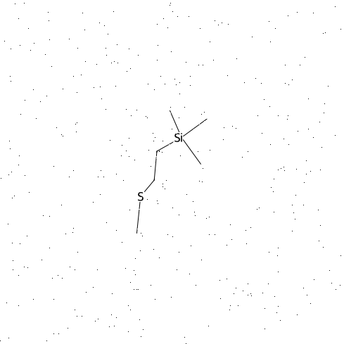 CSCC[Si](C)(C)C